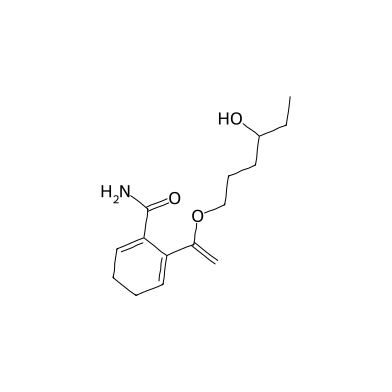 C=C(OCCCC(O)CC)C1=CCCC=C1C(N)=O